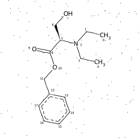 CCN(CC)[C@H](CO)C(=O)OCc1ccccc1